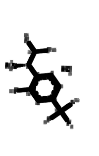 Cl.N[C@@H](c1ccc(C(F)(F)F)cc1F)C(F)F